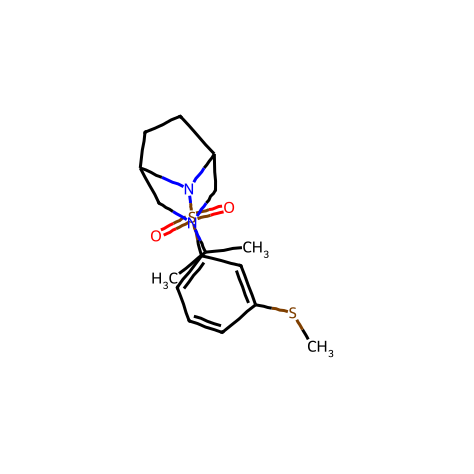 CSc1cccc(S(=O)(=O)N2C3CCC2CN(C(C)C)C3)c1